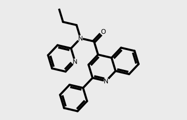 CCCN(C(=O)c1cc(-c2ccccc2)nc2ccccc12)c1ccccn1